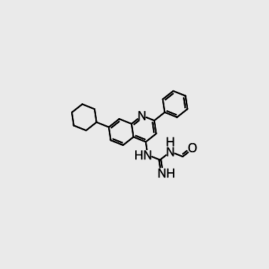 N=C(NC=O)Nc1cc(-c2ccccc2)nc2cc(C3CCCCC3)ccc12